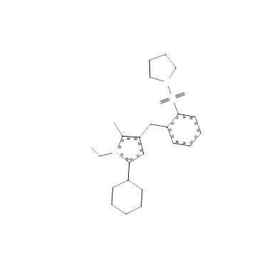 CCOC(=O)Cn1c(C2CCCCC2)cc(Cc2ccccc2S(=O)(=O)N2CCCC2)c1C